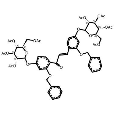 CC(=O)OC[C@H]1OC(Oc2ccc(C=CC(=O)c3ccc(OC4O[C@H](COC(C)=O)[C@@H](OC(C)=O)[C@H](OC(C)=O)[C@H]4OC(C)=O)cc3OCc3ccccc3)c(OCc3ccccc3)c2)[C@H](OC(C)=O)[C@@H](OC(C)=O)[C@@H]1OC(C)=O